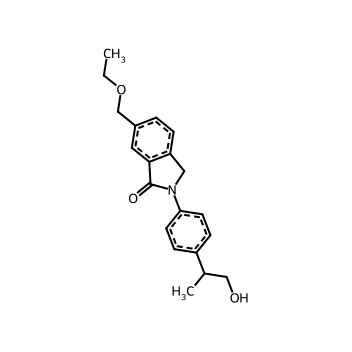 CCOCc1ccc2c(c1)C(=O)N(c1ccc(C(C)CO)cc1)C2